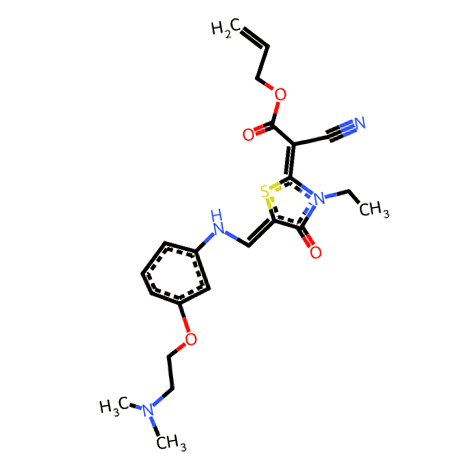 C=CCOC(=O)C(C#N)=c1sc(=CNc2cccc(OCCN(C)C)c2)c(=O)n1CC